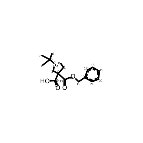 CCC(CSC(C)(C)C)(C(=O)O)C(=O)OCc1ccccc1